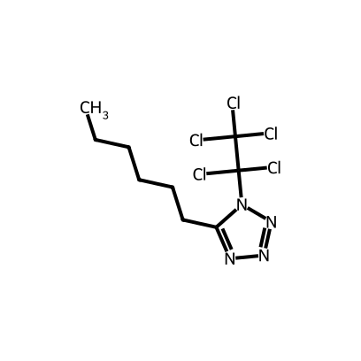 CCCCCCc1nnnn1C(Cl)(Cl)C(Cl)(Cl)Cl